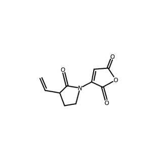 C=CC1CCN(C2=CC(=O)OC2=O)C1=O